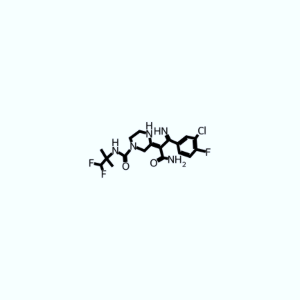 CC(C)(NC(=O)N1CCN/C(=C(\C(=N)c2ccc(F)c(Cl)c2)C(N)=O)C1)C(F)F